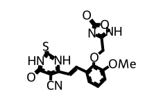 COc1cccc(/C=C/c2[nH]c(=S)[nH]c(=O)c2C#N)c1OCc1nc(=O)o[nH]1